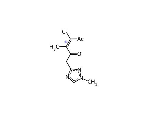 CC(=O)/C(Cl)=C(/C)C(=O)Cc1ncn(C)n1